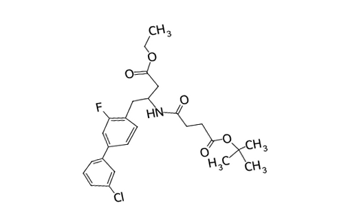 CCOC(=O)CC(Cc1ccc(-c2cccc(Cl)c2)cc1F)NC(=O)CCC(=O)OC(C)(C)C